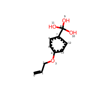 C=CCOc1ccc(C(O)(O)O)cc1